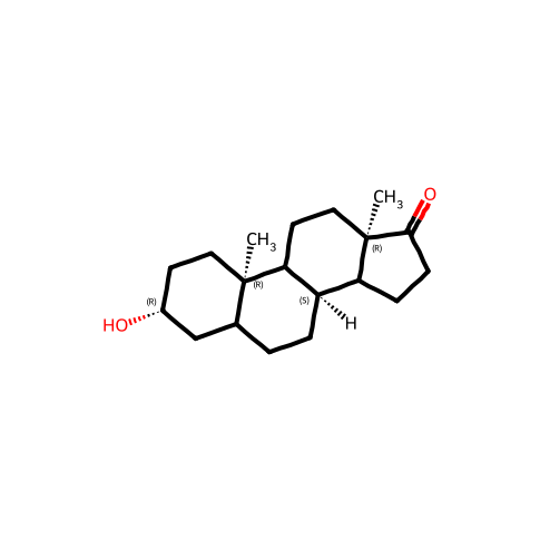 C[C@@]12CC[C@@H](O)CC1CC[C@H]1C2CC[C@@]2(C)C(=O)CCC12